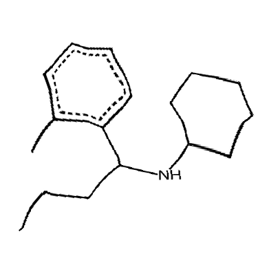 CCCC(NC1CCCCC1)c1ccccc1C